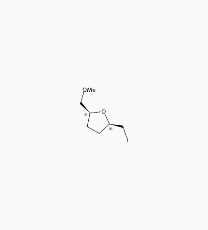 COC[C@@H]1CC[C@H](CI)O1